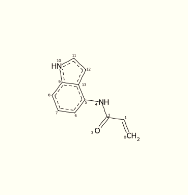 C=CC(=O)Nc1cccc2[nH]ccc12